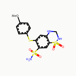 COc1ccc(Sc2cc3c(cc2S(N)(=O)=O)S(=O)(=O)NCN3)cc1